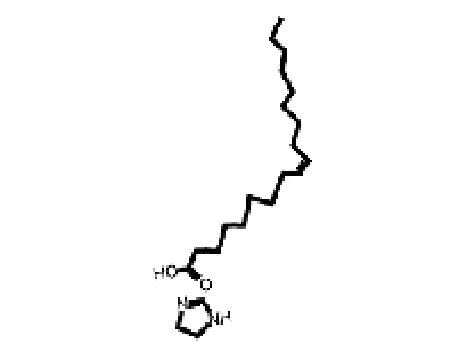 C1=NCCN1.CCCCCCCC/C=C\CCCCCCCC(=O)O